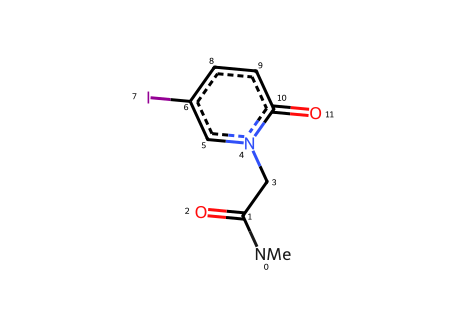 CNC(=O)Cn1cc(I)ccc1=O